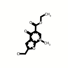 CCOC(=O)c1cn(C)c2oc(CCl)cc2c1=O